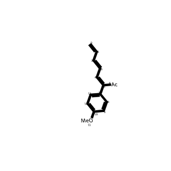 C=CC=CC=C(C(C)=O)c1ccc(OC)cc1